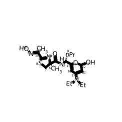 CCC[C@@H](NC(=O)[C@]1(C)CSC(/C(C)=N/O)=N1)C1=CC(N(CC)CC)=CC(O)O1